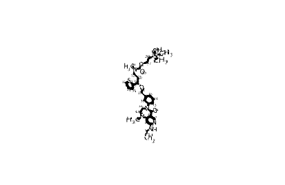 CCNc1cc2c(cn1)C(=O)N(c1cccc(COC(CCN(C)C(=O)OCCS(C)(C)C)c3cccs3)c1)CCN2C